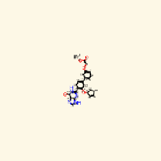 CC(C)OC(=O)COc1cccc(-c2ccc(-c3nc4[nH]cnc4c(=O)[nH]3)c(OC3CCCC3)c2)c1